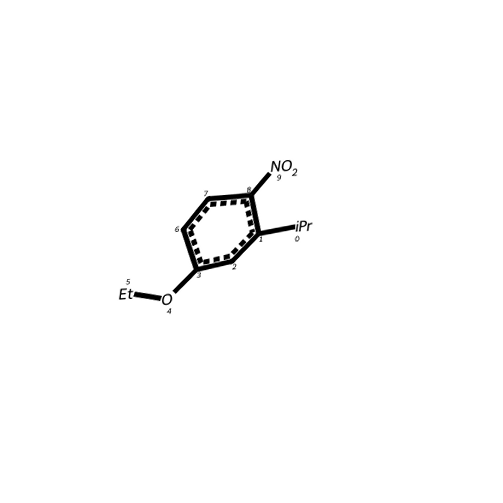 [CH2]C(C)c1cc(OCC)ccc1[N+](=O)[O-]